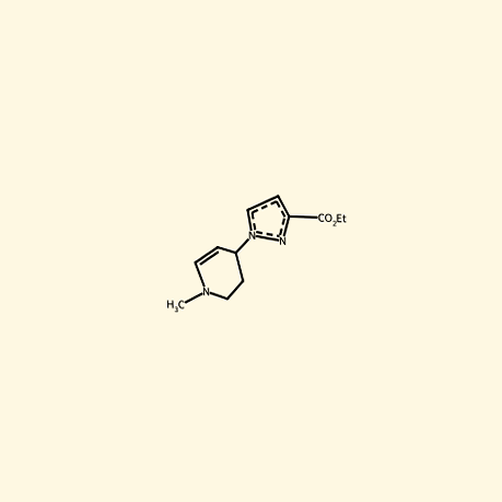 CCOC(=O)c1ccn(C2C=CN(C)CC2)n1